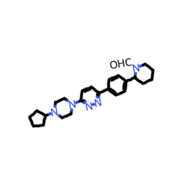 O=CN1CCCCC1c1ccc(-c2ccc(N3CCN(C4CCCC4)CC3)nn2)cc1